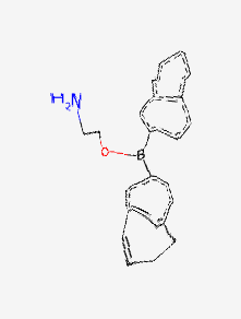 NCCOB(c1ccc2c(c1)C=CCC2)c1ccc2ccccc2c1